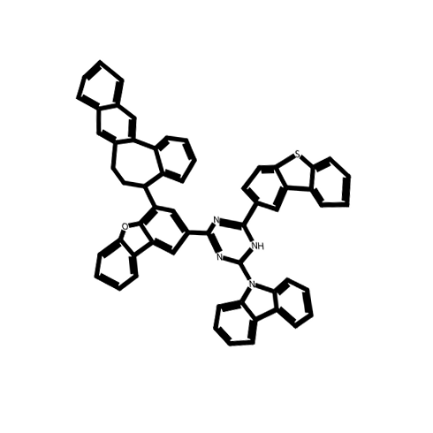 c1ccc2c(c1)-c1cc3ccccc3cc1CCC2c1cc(C2=NC(n3c4ccccc4c4ccccc43)NC(c3ccc4sc5ccccc5c4c3)=N2)cc2c1oc1ccccc12